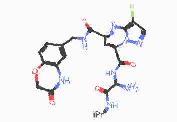 CC(C)NC(=O)C(N)NC(=O)c1cc(C(=O)NCc2ccc3c(c2)NC(=O)CO3)nc2c(F)cnn12